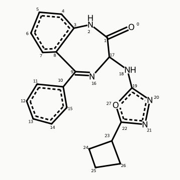 O=C1Nc2ccccc2C(c2ccccc2)=NC1Nc1nnc(C2CCC2)o1